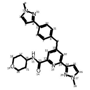 Cn1ccc(-c2ccc(Cc3cc(C(=O)NC4CCOCC4)nc(-c4ccn(C)n4)c3)cc2)n1